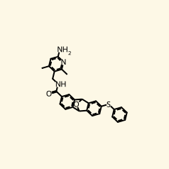 Cc1cc(N)nc(C)c1CNC(=O)c1ccc2c(c1)C1OC2c2ccc(Sc3ccccc3)cc21